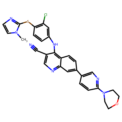 Cn1ccnc1Sc1ccc(Nc2c(C#N)cnc3cc(-c4ccc(N5CCOCC5)nc4)ccc23)cc1Cl